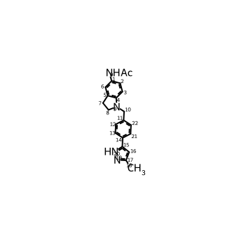 CC(=O)Nc1ccc2c(c1)CCN2Cc1ccc(-c2cc(C)n[nH]2)cc1